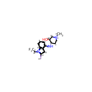 CN1CC[C@H](Nc2cccc3c2cc(I)n3CC(F)(F)F)[C@@H](O)C1